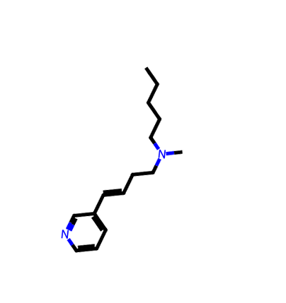 CCCCCN(C)CCC=Cc1cccnc1